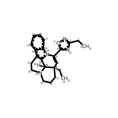 CCc1noc(C2=C[C@]3(CC)CCCN4CCc5c(n2c2ccccc52)[C@@H]43)n1